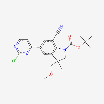 COCC1(C)CN(C(=O)OC(C)(C)C)c2c(C#N)cc(-c3ccnc(Cl)n3)cc21